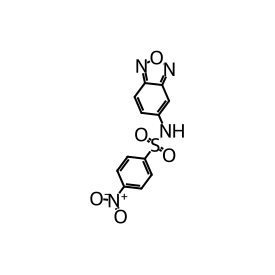 O=[N+]([O-])c1ccc(S(=O)(=O)Nc2ccc3nonc3c2)cc1